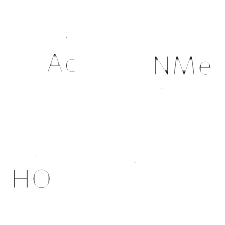 CN[C@H](CO)C(C)=O